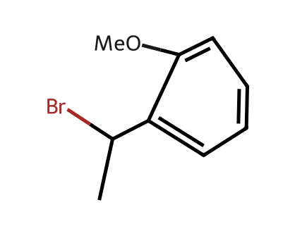 COc1ccccc1C(C)Br